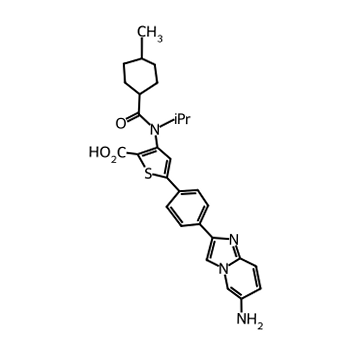 CC1CCC(C(=O)N(c2cc(-c3ccc(-c4cn5cc(N)ccc5n4)cc3)sc2C(=O)O)C(C)C)CC1